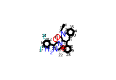 C#CCN1C(=O)[C@H](N(C(=O)Cc2cc(F)cc(F)c2)C(=O)[C@H](C)N)C(c2ccccc2)Cc2ccccc21